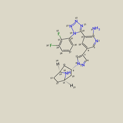 Nc1ncc(-c2cnn([C@@H]3C[C@H]4CC[C@@H](C3)N4)c2)cc1-c1nnnn1-c1cccc(F)c1F